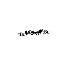 CC(C)(C)OC1CC(OCCCOCCCN2CC(C(C)(C)C)C2)C1